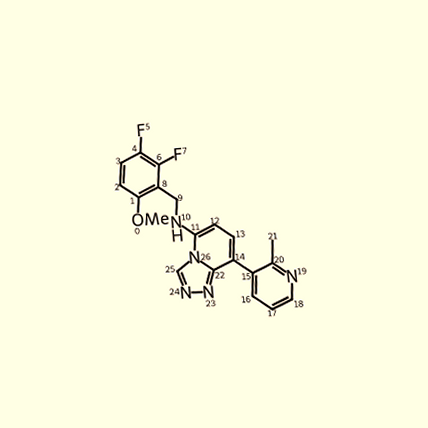 COc1ccc(F)c(F)c1CNc1ccc(-c2cccnc2C)c2nncn12